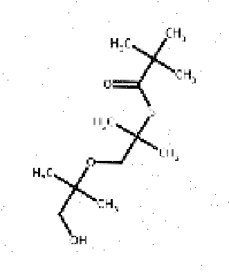 CC(C)(CO)OCC(C)(C)SC(=O)C(C)(C)C